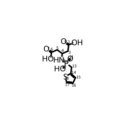 O=C(O)CC(CC(=O)O)NP(=O)(O)Cc1cccs1